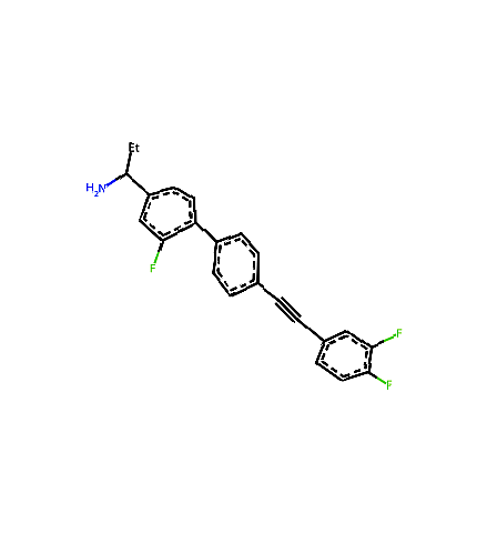 CCC(N)c1ccc(-c2ccc(C#Cc3ccc(F)c(F)c3)cc2)c(F)c1